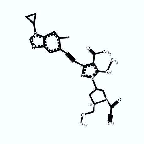 C#CC(=O)N1CC(n2nc(C#Cc3cc4ncn(C5CC5)c4cc3F)c(C(N)=O)c2NC)C[C@@H]1COC